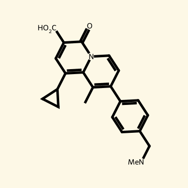 CNCc1ccc(-c2ccn3c(=O)c(C(=O)O)cc(C4CC4)c3c2C)cc1